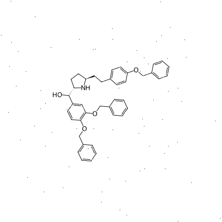 OC(c1ccc(OCc2ccccc2)c(OCc2ccccc2)c1)[C@@H]1CC[C@@H](CCc2ccc(OCc3ccccc3)cc2)N1